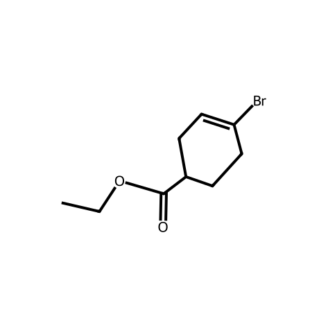 CCOC(=O)C1CC=C(Br)CC1